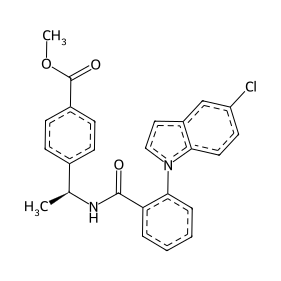 COC(=O)c1ccc([C@H](C)NC(=O)c2ccccc2-n2ccc3cc(Cl)ccc32)cc1